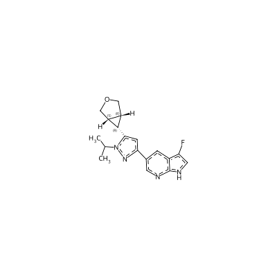 CC(C)n1nc(-c2cnc3[nH]cc(F)c3c2)cc1[C@@H]1[C@@H]2COC[C@@H]21